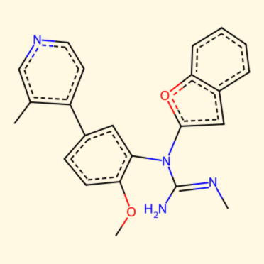 CN=C(N)N(c1cc2ccccc2o1)c1cc(-c2ccncc2C)ccc1OC